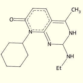 CCNC1N=c2c(ccc(=O)n2C2CCCCC2)=C(C)N1